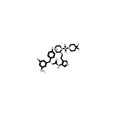 Cc1cc(F)cc([C@@H](CC(=O)NC2=C(CC[C@H]3CNCCN3S(=O)(=O)N3CCC(F)(F)CC3)CN=C2)c2ccc(F)cc2)c1